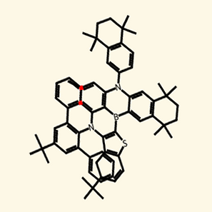 Cc1cc2c3c(c1)N(c1c(-c4ccccc4)cc(C(C)(C)C)cc1-c1ccccc1)c1c(sc4c1CC(C(C)(C)C)C=C4)B3c1cc3c(cc1N2c1ccc2c(c1)C(C)(C)CCC2(C)C)C(C)(C)CCC3(C)C